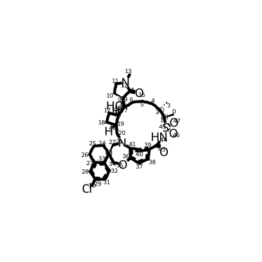 C[C@@H]1[C@@H](C)CCC[C@](O)([C@H]2CCN(C)C2=O)[C@@H]2CC[C@H]2CN2C[C@@]3(CCCc4cc(Cl)ccc43)COc3ccc(cc32)C(=O)NS1(=O)=O